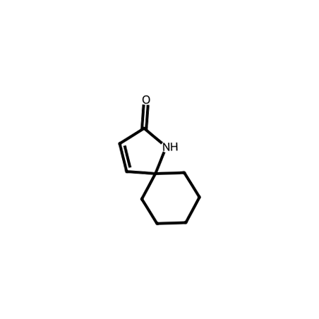 O=C1C=CC2(CCCCC2)N1